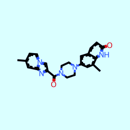 Cc1ccn2cc(C(=O)N3CCN(c4cc(C)c5[nH]c(=O)ccc5c4)CC3)nc2c1